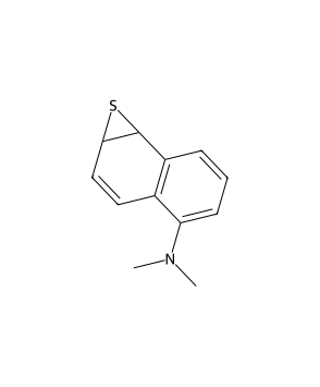 CN(C)c1cccc2c1C=CC1SC21